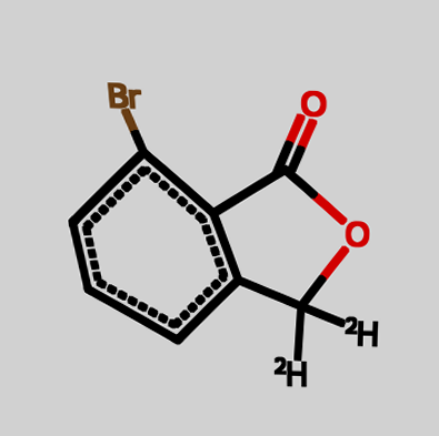 [2H]C1([2H])OC(=O)c2c(Br)cccc21